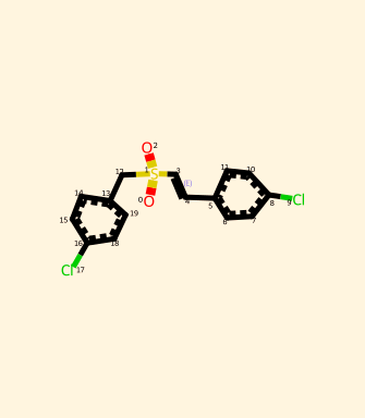 O=S(=O)(/C=C/c1ccc(Cl)cc1)Cc1ccc(Cl)cc1